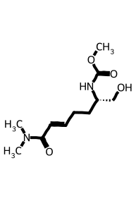 COC(=O)N[C@H](CO)CC/C=C/C(=O)N(C)C